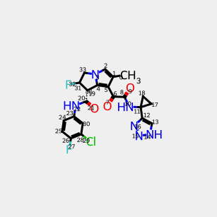 Cc1cn2c(c1C(=O)C(=O)NC1(c3c[nH]nn3)CC1)[C@H](C(=O)Nc1ccc(F)c(Cl)c1)C(F)C2